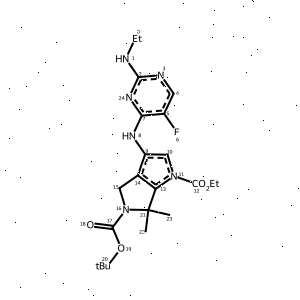 CCNc1ncc(F)c(Nc2cn(C(=O)OCC)c3c2CN(C(=O)OC(C)(C)C)C3(C)C)n1